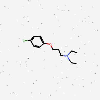 CCN(CC)CCCOc1ccc(Cl)cc1